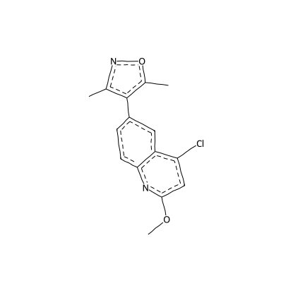 COc1cc(Cl)c2cc(-c3c(C)noc3C)ccc2n1